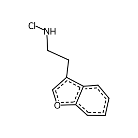 ClNCCc1coc2ccccc12